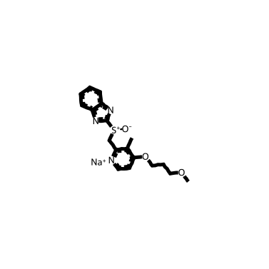 COCCCOc1ccnc(C[S@@+]([O-])c2nc3ccccc3[n-]2)c1C.[Na+]